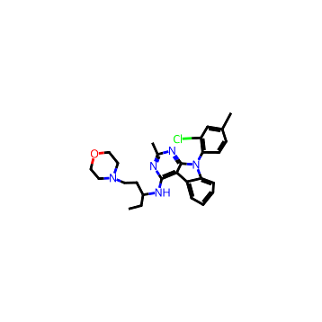 CCC(CCN1CCOCC1)Nc1nc(C)nc2c1c1ccccc1n2-c1ccc(C)cc1Cl